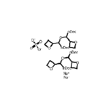 CCCCCCCCCCC(OC(CCCCCCCCCC)C1CCO1)C1CCO1.CCCCCCCCCCC(OC(CCCCCCCCCC)C1CCO1)C1CCO1.O=S(=O)([O-])[O-].[Na+].[Na+]